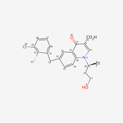 CC[C@@H](CCO)n1cc(C(=O)O)c(=O)c2cc(Cc3cccc(Cl)c3F)ccc21